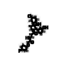 O=C(COc1ccc(F)cc1)NCCC(=O)N1CCc2c([nH]c3ccc(Cl)cc23)C1c1cccc(O)c1